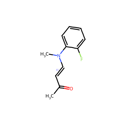 CC(=O)/C=C/N(C)c1ccccc1F